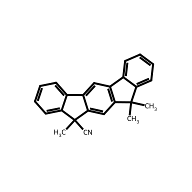 CC1(C)c2ccccc2-c2cc3c(cc21)C(C)(C#N)c1ccccc1-3